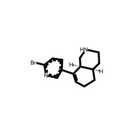 Brc1ccc(C2=CCC[C@@H]3CCNC[C@H]23)cn1